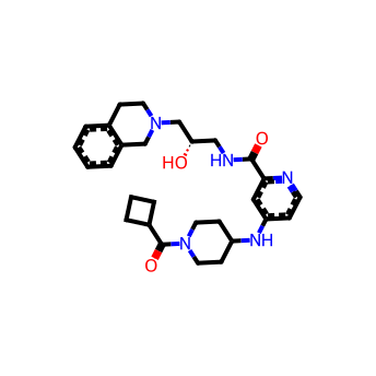 O=C(NC[C@H](O)CN1CCc2ccccc2C1)c1cc(NC2CCN(C(=O)C3CCC3)CC2)ccn1